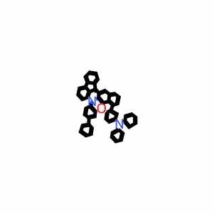 CC12c3ccccc3-c3cccc(c31)N(c1ccc(-c3ccccc3)cc1)c1c2cc2cccc3c2c1Oc1ccc(N(c2ccccc2)c2ccccc2)cc1-3